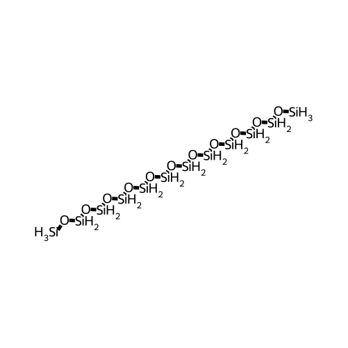 [SiH3]O[SiH2]O[SiH2]O[SiH2]O[SiH2]O[SiH2]O[SiH2]O[SiH2]O[SiH2]O[SiH2]O[SiH2]O[SiH3]